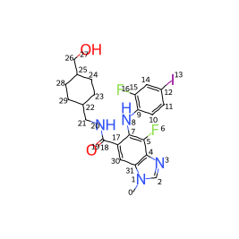 Cn1cnc2c(F)c(Nc3ccc(I)cc3F)c(C(=O)NCC3CCC(CO)CC3)cc21